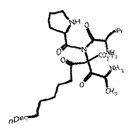 CCCCCCCCCCCCCCCC(=O)C(C(=O)O)(C(=O)C(C)N)N(C(=O)C1CCCN1)C(=O)C(N)C(C)C